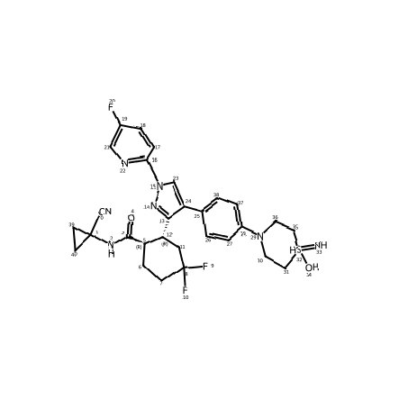 N#CC1(NC(=O)[C@@H]2CCC(F)(F)C[C@H]2c2nn(-c3ccc(F)cn3)cc2-c2ccc(N3CC[SH](=N)(O)CC3)cc2)CC1